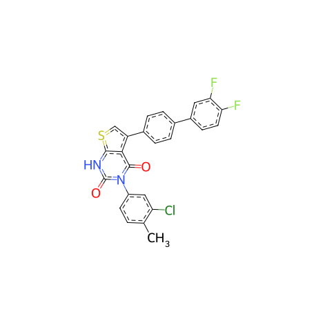 Cc1ccc(-n2c(=O)[nH]c3scc(-c4ccc(-c5ccc(F)c(F)c5)cc4)c3c2=O)cc1Cl